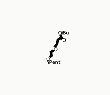 CCCCCOCCOCCCC(=O)OCC(C)C